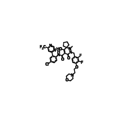 CN1N(Cc2ccc(OCCN3CCOCC3)c(F)c2F)C(=O)C(C(=O)Nc2ccc(Cl)cc2-c2cc(C(F)(F)F)ncn2)=C(O)C12CCCC2